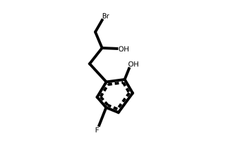 Oc1ccc(F)cc1CC(O)CBr